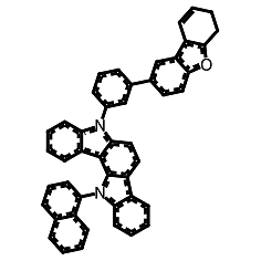 C1=Cc2c(oc3ccc(-c4cccc(-n5c6ccccc6c6c5ccc5c7ccccc7n(-c7cccc8ccccc78)c56)c4)cc23)CC1